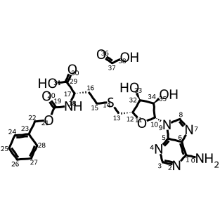 Nc1ncnc2c1ncn2[C@@H]1O[C@H](CSCC[C@H](NC(=O)OCc2ccccc2)C(=O)O)[C@@H](O)[C@H]1O.O=CO